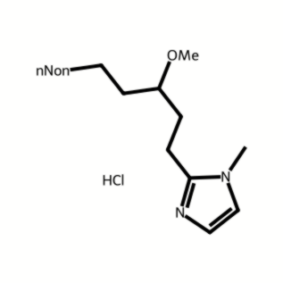 CCCCCCCCCCCC(CCc1nccn1C)OC.Cl